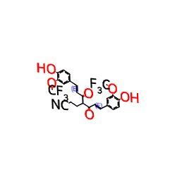 N#CCCC(C(=O)/C=C/c1ccc(O)c(OC(F)(F)F)c1)C(=O)/C=C/c1ccc(O)c(OC(F)(F)F)c1